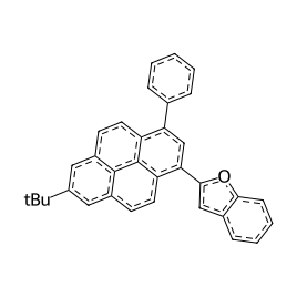 CC(C)(C)c1cc2ccc3c(-c4ccccc4)cc(-c4cc5ccccc5o4)c4ccc(c1)c2c34